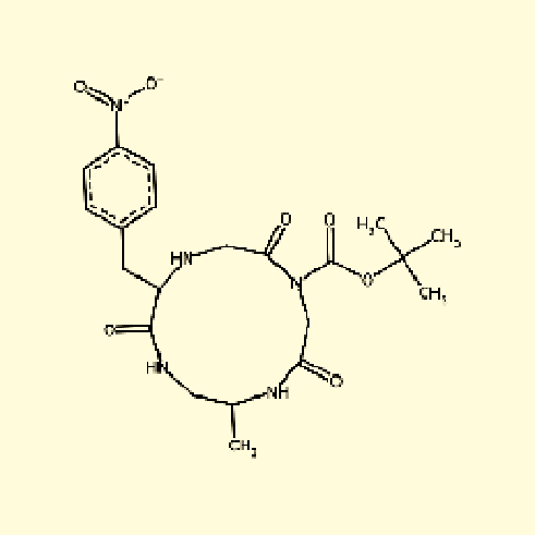 CC1CNC(=O)C(Cc2ccc([N+](=O)[O-])cc2)NCC(=O)N(C(=O)OC(C)(C)C)CC(=O)N1